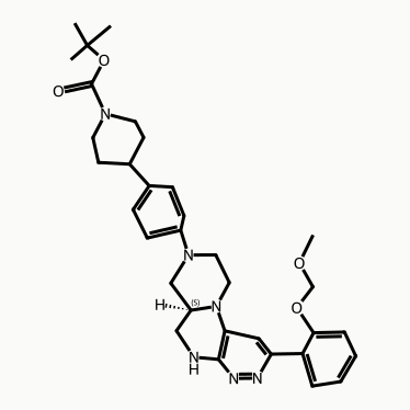 COCOc1ccccc1-c1cc2c(nn1)NC[C@H]1CN(c3ccc(C4CCN(C(=O)OC(C)(C)C)CC4)cc3)CCN21